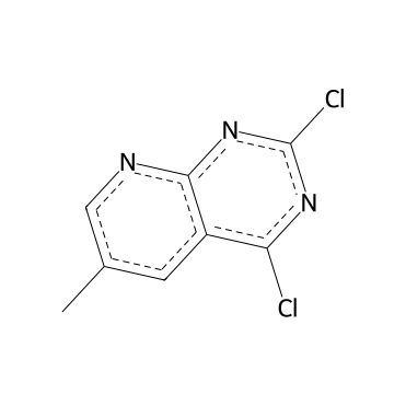 Cc1cnc2nc(Cl)nc(Cl)c2c1